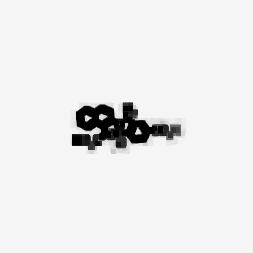 Nc1cc(S(=O)(=O)O)ccc1S(=O)(=O)Oc1ccc2ccccc2c1CC(=O)O